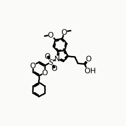 COc1cc2c(CCC(=O)O)cn(S(=O)(=O)C3=COC=C(C4=CC=CCC4)O3)c2cc1OC